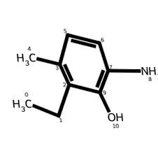 CCc1c(C)ccc(N)c1O